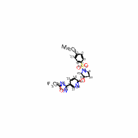 COc1ccc(S(=O)(=O)N2CCC(Oc3ccc(-c4noc(C(F)(F)F)n4)cn3)C2)cc1